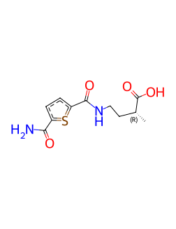 C[C@H](CCNC(=O)c1ccc(C(N)=O)s1)C(=O)O